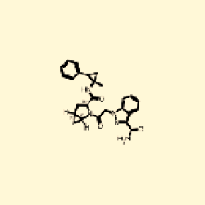 CC1(NC(=O)[C@@H]2C[C@H]3C[C@H]3N2C(=O)Cn2nc(C(N)=O)c3ccccc32)CC1c1ccccc1